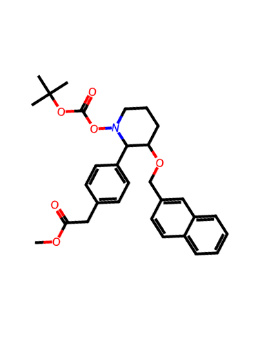 COC(=O)Cc1ccc(C2C(OCc3ccc4ccccc4c3)CCCN2OC(=O)OC(C)(C)C)cc1